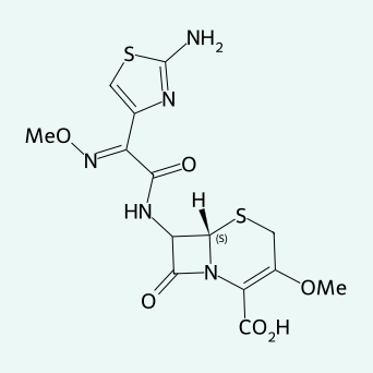 CON=C(C(=O)NC1C(=O)N2C(C(=O)O)=C(OC)CS[C@@H]12)c1csc(N)n1